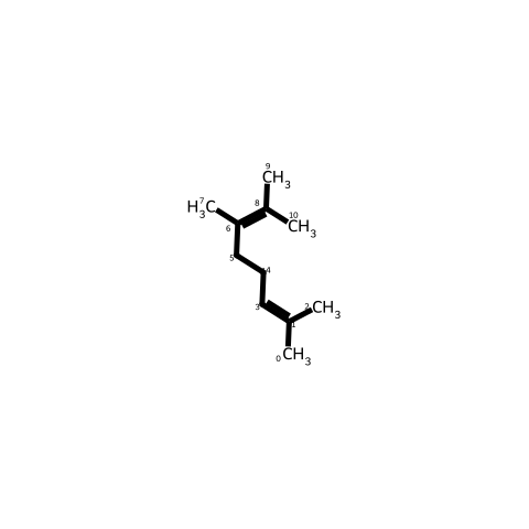 CC(C)=C[CH]CC(C)=C(C)C